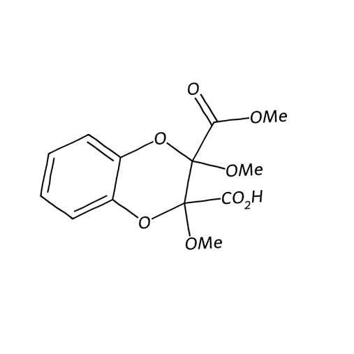 COC(=O)C1(OC)Oc2ccccc2OC1(OC)C(=O)O